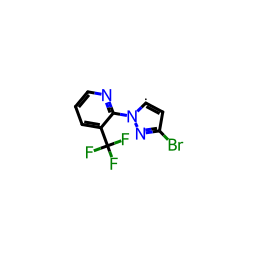 FC(F)(F)c1cccnc1-n1[c]cc(Br)n1